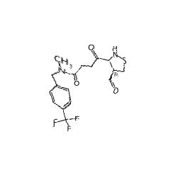 CN(Cc1ccc(C(F)(F)F)cc1)C(=O)CCC(=O)C1NSC[C@H]1C=O